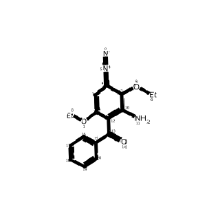 CCOC1=CC(=[N+]=[N-])C(OCC)C(N)=C1C(=O)c1ccccc1